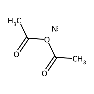 CC(=O)OC(C)=O.[N]